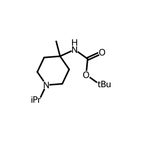 CC(C)N1CCC(C)(NC(=O)OC(C)(C)C)CC1